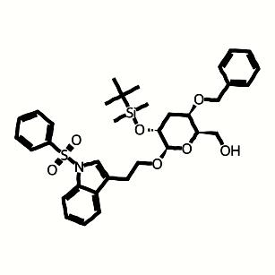 CC(C)(C)[Si](C)(C)O[C@@H]1C[C@@H](OCc2ccccc2)[C@@H](CO)O[C@H]1OCCc1cn(S(=O)(=O)c2ccccc2)c2ccccc12